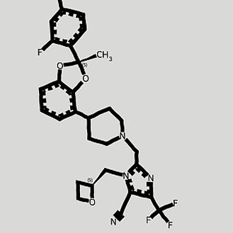 C[C@]1(c2ccc(Cl)cc2F)Oc2cccc(C3CCN(Cc4nc(C(F)(F)F)c(C#N)n4C[C@@H]4CCO4)CC3)c2O1